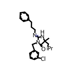 CC(C)CC1(C)N/C(=N\CCCc2ccccc2)N(Cc2cccc(Cl)c2)C1=O